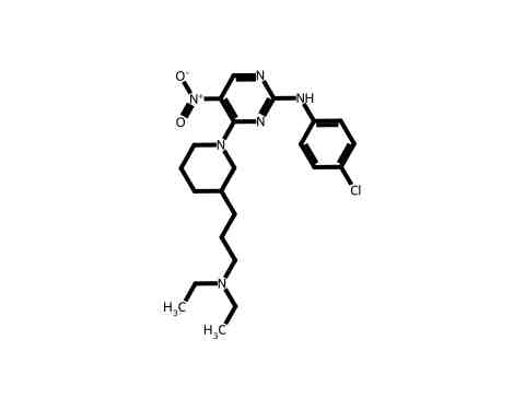 CCN(CC)CCCC1CCCN(c2nc(Nc3ccc(Cl)cc3)ncc2[N+](=O)[O-])C1